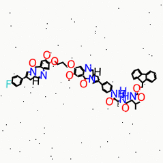 COc1cc2c(cc1OCCCOc1cc3c(cc1OC)C(=O)N1C=C(c4ccc(NC(=O)[C@H](C)NC(=O)[C@@H](NC(=O)OCC5c6ccccc6-c6ccccc65)C(C)C)cc4)C[C@H]1C=N3)N=C[C@@H]1CC(c3ccc(F)cc3)=CN1C2=O